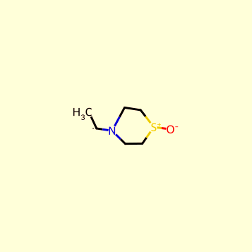 C[CH]N1CC[S+]([O-])CC1